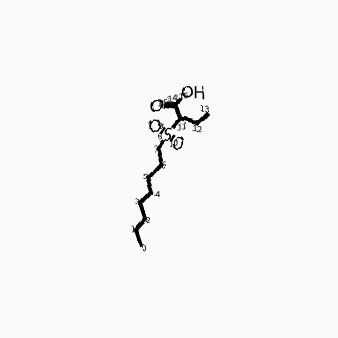 CCCCCCCCS(=O)(=O)C(CC)C(=O)O